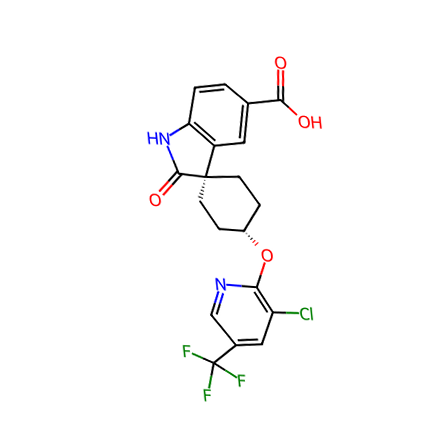 O=C(O)c1ccc2c(c1)[C@]1(CC[C@@H](Oc3ncc(C(F)(F)F)cc3Cl)CC1)C(=O)N2